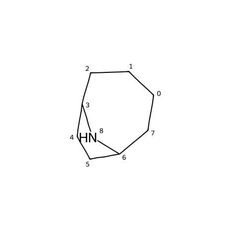 C1CCC2CCC(C1)N2